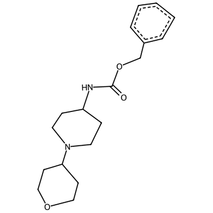 O=C(NC1CCN(C2CCOCC2)CC1)OCc1ccccc1